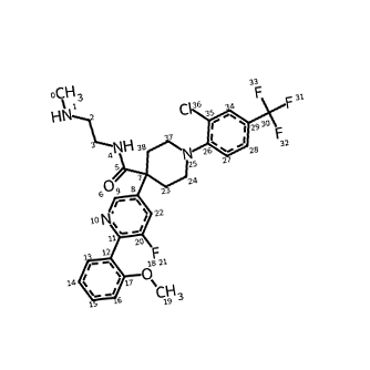 CNCCNC(=O)C1(c2cnc(-c3ccccc3OC)c(F)c2)CCN(c2ccc(C(F)(F)F)cc2Cl)CC1